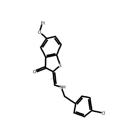 CCOc1ccc2c(c1)C(=O)/C(=C/NCc1ccc(Cl)cc1)S2